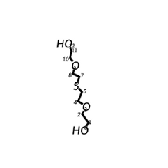 OCCOCCSCCOCCO